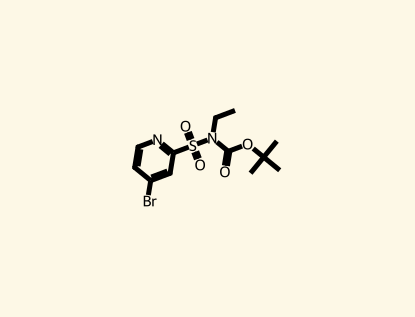 CCN(C(=O)OC(C)(C)C)S(=O)(=O)c1cc(Br)ccn1